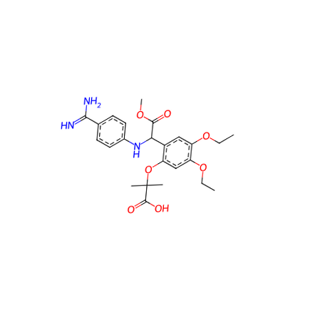 CCOc1cc(OC(C)(C)C(=O)O)c(C(Nc2ccc(C(=N)N)cc2)C(=O)OC)cc1OCC